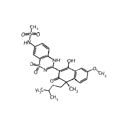 COc1ccc2c(c1)C(O)=C(C1=NS(=O)(=O)c3cc(NS(C)(=O)=O)ccc3N1)C(=O)C2(C)CCC(C)C